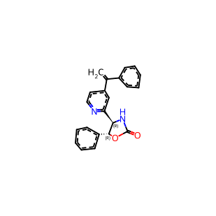 C=C(c1ccccc1)c1ccnc([C@H]2NC(=O)O[C@@H]2c2ccccc2)c1